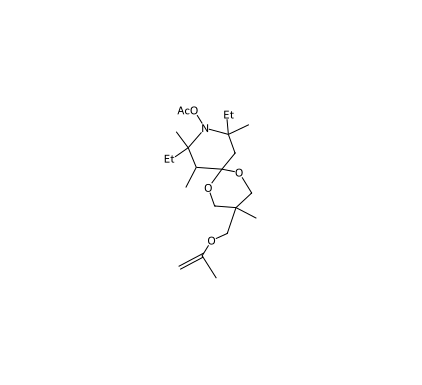 C=C(C)OCC1(C)COC2(CC(C)(CC)N(OC(C)=O)C(C)(CC)C2C)OC1